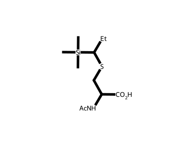 CCC(SCC(NC(C)=O)C(=O)O)[Si](C)(C)C